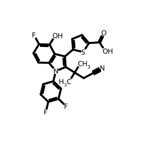 CC(C)(CC#N)c1c(-c2ccc(C(=O)O)s2)c2c(O)c(F)ccc2n1-c1ccc(F)c(F)c1